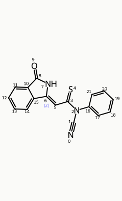 N#CN(C(=S)/C=C1\NC(=O)c2ccccc21)c1ccccc1